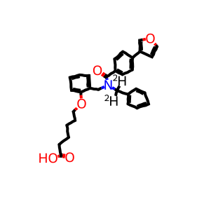 [2H]C([2H])(c1ccccc1)N(Cc1ccccc1OCCCCCC(=O)O)C(=O)c1ccc(-c2ccoc2)cc1